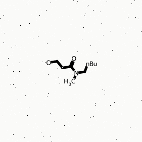 CCCCCN(C)C(=O)CC[O]